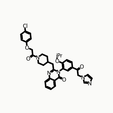 CC(C)Oc1ccc(C(=O)Cn2ccnc2)cc1-n1c(CC2CCN(C(=O)COc3ccc(Cl)cc3)CC2)nc2ccccc2c1=O